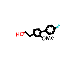 COc1cc(CCO)ccc1-c1ccc(F)cc1